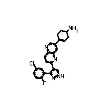 NC1CC=C(c2cnc3ccc(-c4c[nH]nc4-c4cc(Cl)ccc4F)nc3c2)CC1